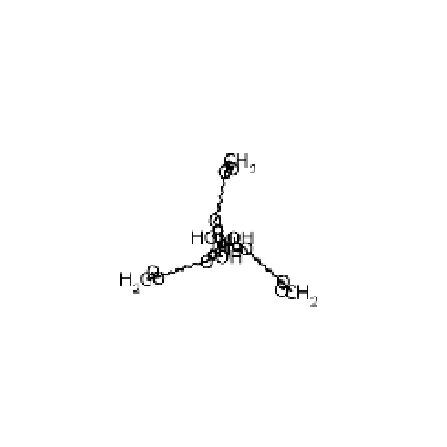 C=CC(=O)OCCCCCCCCCCCOc1ccc(-c2nc(-c3ccc(OCCCCCCCCCCCOC(=O)C=C)cc3O)nc(-c3ccc(OCCCCCCCCCCCOC(=O)C=C)cc3O)n2)c(O)c1